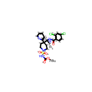 CC(C)(C)OC(=O)NS(=O)(=O)N1CCC(c2ccccn2)(C(C)(C)NC(=O)c2ccc(Cl)cc2Cl)CC1